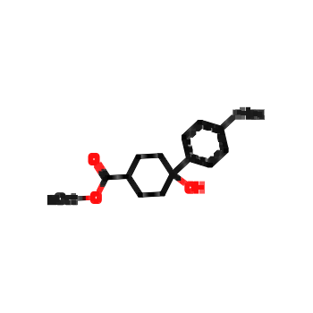 CCCCCCCCOC(=O)C1CCC(O)(c2ccc(CCCCCC)cc2)CC1